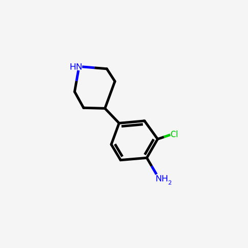 Nc1ccc(C2CCNCC2)cc1Cl